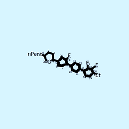 CCCCCC1CCC(c2ccc(-c3ccc(-c4ccc(CC)c(F)c4F)cc3)c(F)c2)OC1